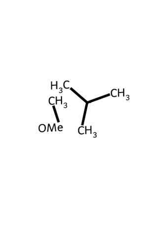 COC.C[C](C)C